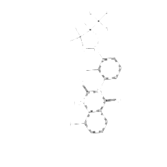 Cc1c(B2OC(C)(C)C(C)(C(I)(I)I)O2)cccc1-n1c(=O)[nH]c2c(F)cccc2c1=O